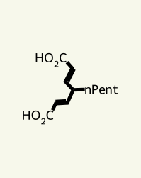 CCCCCC(/C=C/C(=O)O)/C=C/C(=O)O